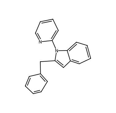 c1ccc(Cc2cc3ccccc3n2-c2ccccn2)cc1